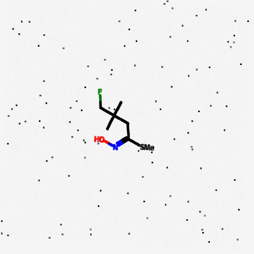 CSC(CC(C)(C)CF)=NO